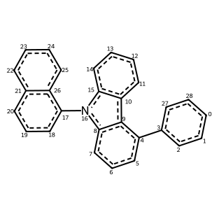 c1ccc(-c2cccc3c2c2ccccc2n3-c2cccc3ccccc23)cc1